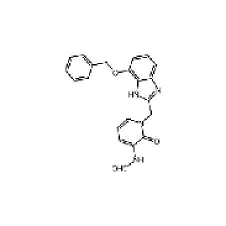 O=CNc1cccn(Cc2nc3cccc(OCc4ccccc4)c3[nH]2)c1=O